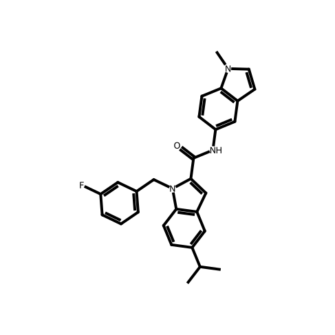 CC(C)c1ccc2c(c1)cc(C(=O)Nc1ccc3c(ccn3C)c1)n2Cc1cccc(F)c1